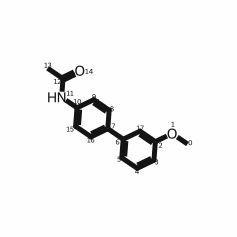 COc1cccc(-c2c[c]c(NC(C)=O)cc2)c1